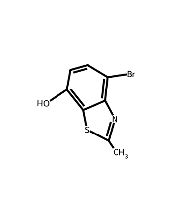 Cc1nc2c(Br)ccc(O)c2s1